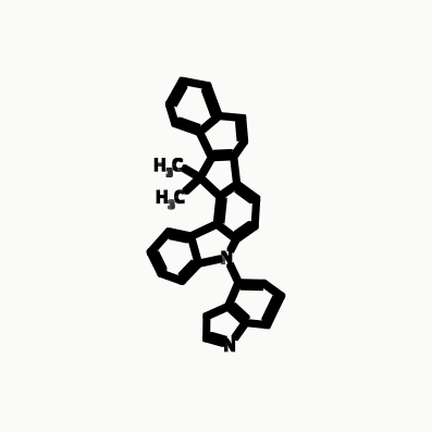 CC1(C)c2c(ccc3ccccc23)-c2ccc3c(c21)c1ccccc1n3-c1cccc2c1CC=N2